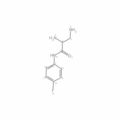 NCC(N)C(=O)Nc1ccc(F)cc1